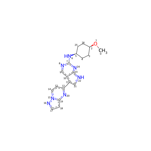 CO[C@H]1CC[C@@H](Nc2ncc3c(-c4ccn5nccc5n4)c[nH]c3n2)CC1